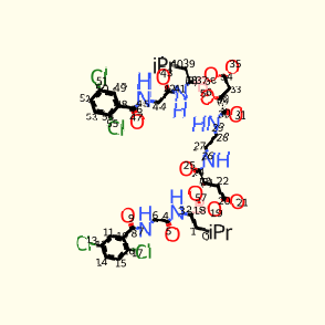 CC(C)CC(NC(=O)CNC(=O)c1cc(Cl)ccc1Cl)B1OC(=O)C[C@H](C(=O)NCCNC(=O)[C@H]2CC(=O)OB([C@H](CC(C)C)NC(=O)CNC(=O)c3cc(Cl)ccc3Cl)O2)O1